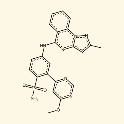 COc1cc(-c2cc(Nc3nc4cc(C)nn4c4ccccc34)ccc2S(N)(=O)=O)ncn1